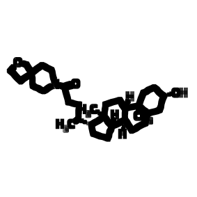 CC(CCC(=O)N1CCC2(CCOC2)CC1)[C@H]1CC[C@H]2[C@@H]3CC=C4C[C@@H](O)CC[C@]4(C)[C@H]3CC[C@]12C